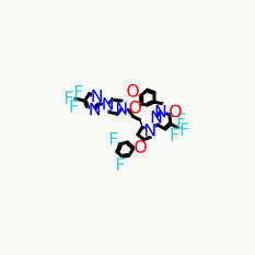 COc1ccc(Cn2nc(N3C[C@@H](Oc4cc(F)cc(F)c4)C[C@H]3CCC(=O)N3CCN(c4ncc(C(F)(F)F)cn4)CC3)cc(C(F)(F)F)c2=O)cc1